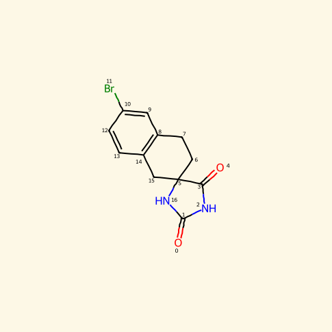 O=C1NC(=O)C2(CCc3cc(Br)ccc3C2)N1